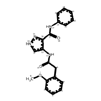 COc1ccccc1CC(=O)Nc1c[nH]nc1C(=O)Nc1ccccc1